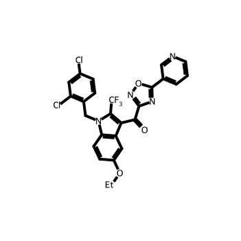 CCOc1ccc2c(c1)c(C(=O)c1noc(-c3cccnc3)n1)c(C(F)(F)F)n2Cc1ccc(Cl)cc1Cl